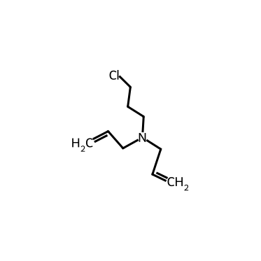 C=CCN(CC=C)CCCCl